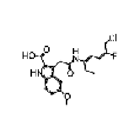 CC/C(=C\C=C(\F)CCl)NC(=O)Cc1c(C(=O)O)[nH]c2ccc(OC)cc12